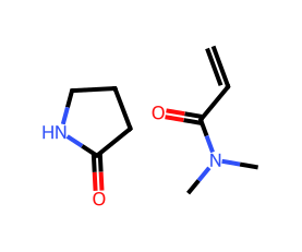 C=CC(=O)N(C)C.O=C1CCCN1